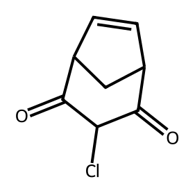 O=C1C2C=CC(C2)C(=O)C1Cl